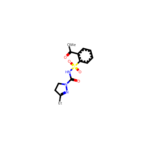 CCC1=NN(C(=O)NS(=O)(=O)c2ccccc2C(=O)OC)CC1